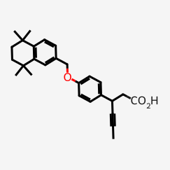 CC#CC(CC(=O)O)c1ccc(OCc2ccc3c(c2)C(C)(C)CCC3(C)C)cc1